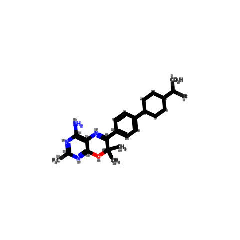 CCC(C(=O)O)C1CCC(c2ccc(C3=Nc4c(N)nc(C(F)(F)F)nc4OC3(C)C)cc2)CC1